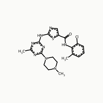 Cc1nc(Nc2ncc(C(=O)Nc3c(C)cccc3Cl)s2)nc(N2CCN(C)CC2)n1